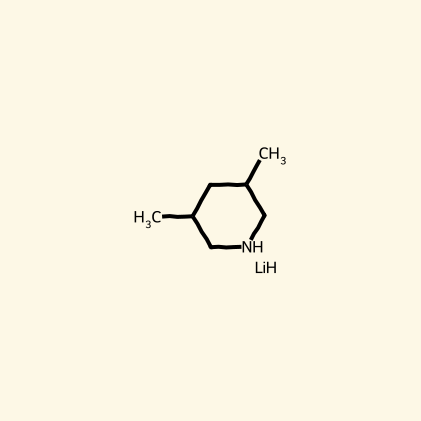 CC1CNCC(C)C1.[LiH]